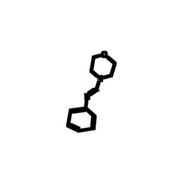 [C](=N\c1ccccc1)/N1CCOCC1